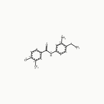 NCc1ccc(NC(=O)c2ccc(Cl)c(C(F)(F)F)c2)cc1N